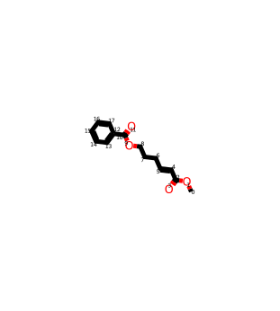 COC(=O)/C=C/CCCOC(=O)c1ccccc1